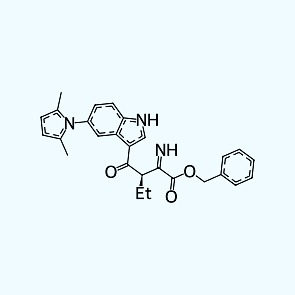 CC[C@H](C(=N)C(=O)OCc1ccccc1)C(=O)c1c[nH]c2ccc(-n3c(C)ccc3C)cc12